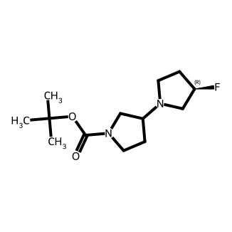 CC(C)(C)OC(=O)N1CCC(N2CC[C@@H](F)C2)C1